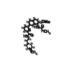 C=CC(=O)Nc1c(COC)ccc2ccc(-c3cccc(C(=O)NCCC4CCN(C)CC4)n3)cc12